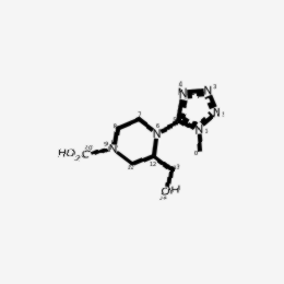 Cn1nnnc1N1CCN(C(=O)O)CC1CO